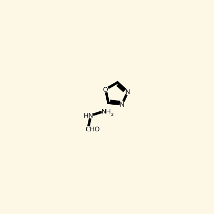 NNC=O.c1nnco1